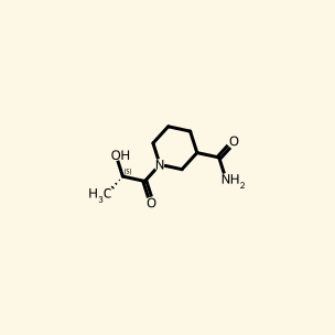 C[C@H](O)C(=O)N1CCCC(C(N)=O)C1